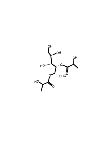 CC(O)C(=O)O[C@@H]([C@H](O)[C@H](O)CO)[C@H](C=O)OC(=O)C(C)O